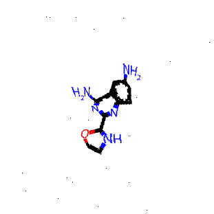 Nc1ccc2nc(C3NC=CO3)nc(N)c2c1